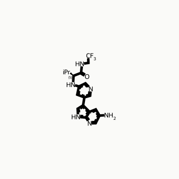 CC(C)[C@H](Nc1cncc(-c2c[nH]c3ncc(N)cc23)c1)C(=O)NCC(F)(F)F